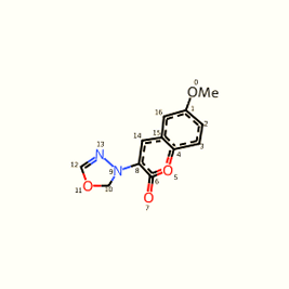 COc1ccc2oc(=O)c(N3COC=N3)cc2c1